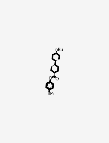 CCCC[C@H]1CC[C@H]([C@H]2CC[C@H](C(=O)Oc3ccc(CCC)cc3)CC2)CC1